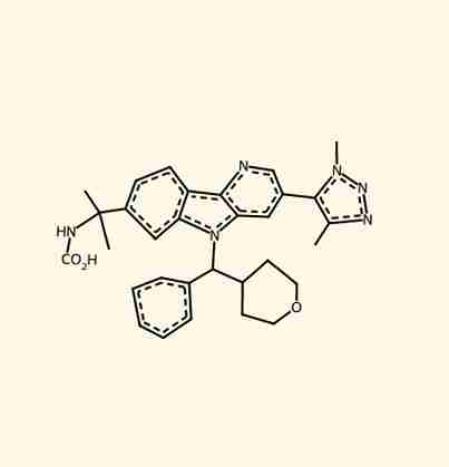 Cc1nnn(C)c1-c1cnc2c3ccc(C(C)(C)NC(=O)O)cc3n(C(c3ccccc3)C3CCOCC3)c2c1